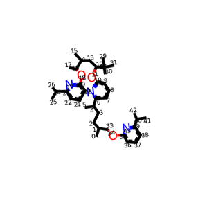 CC(CCC(C)c1cccc(OC(CC(C)C(C)Oc2cccc(C(C)C)n2)C(C)(C)C)n1)COc1cccc(C(C)C)n1